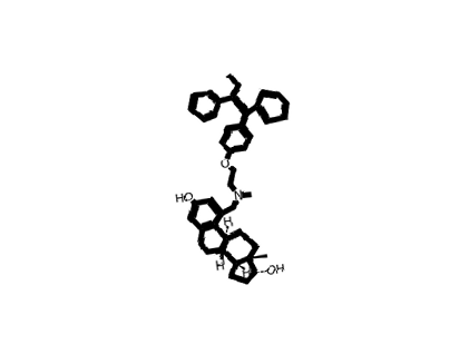 CC/C(=C(\c1ccccc1)c1ccc(OCCN(C)Cc2cc(O)cc3c2[C@H]2CC[C@]4(C)[C@H](O)CC[C@H]4[C@@H]2CC3)cc1)c1ccccc1